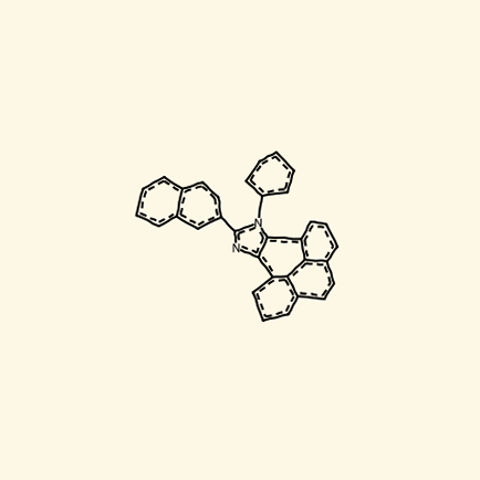 c1ccc(-n2c(-c3ccc4ccccc4c3)nc3c4cccc5ccc6cccc(c6c54)c32)cc1